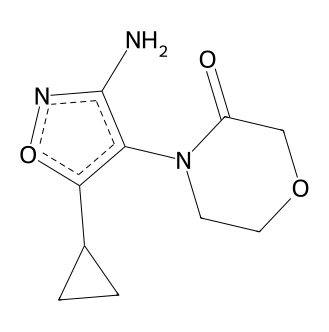 Nc1noc(C2CC2)c1N1CCOCC1=O